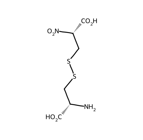 N[C@@H](CSSC[C@@H](C(=O)O)[N+](=O)[O-])C(=O)O